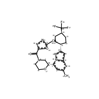 Cc1cc([C@H]2CN(C(=O)c3nnc(C)o3)CCO2)n2nc([C@H]3CC[C@H](C(F)(F)F)CC3)cc2n1